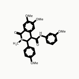 COc1ccc(C2C(C(=O)Nc3cccc(OC)c3)c3cc(OC)c(OC)cc3C(=O)N2C)cc1